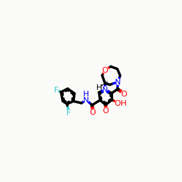 O=C(NCc1ccc(F)cc1F)c1cn2c(c(O)c1=O)C(=O)N1CCCOC[C@H]2C1